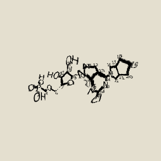 O=P(O)(O)COC[C@H]1O[C@@H](n2ncc3c(N4CC5CCCC5C4)nc(Cl)nc32)[C@H](O)[C@@H]1O